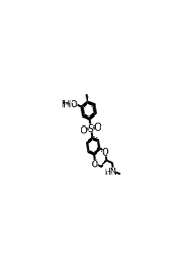 CNCC1COc2ccc(S(=O)(=O)c3ccc(C)c(O)c3)cc2O1